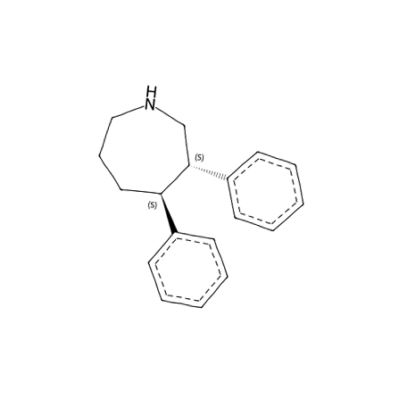 c1ccc([C@H]2CCCNC[C@@H]2c2ccccc2)cc1